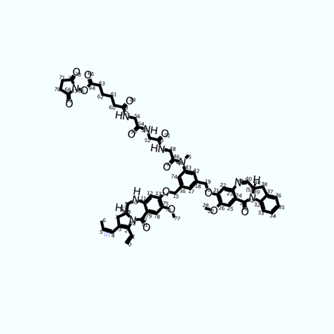 C=CC1=C(/C=C\C)C[C@H]2CNc3cc(OCc4cc(COc5cc6c(cc5OC)C(=O)N5c7ccccc7C[C@H]5C=N6)cc(N(C)C(=O)CNC(=O)CNC(=O)CNC(=O)CCCCC(=O)ON5C(=O)CCC5=O)c4)c(OC)cc3C(=O)N12